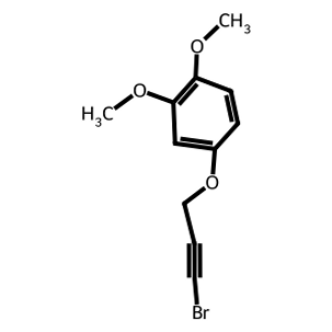 COc1ccc(OCC#CBr)cc1OC